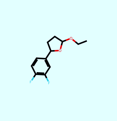 CCOC1CCC(c2ccc(F)c(F)c2)O1